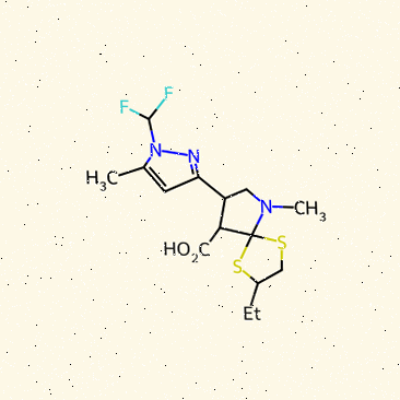 CCC1CSC2(S1)C(C(=O)O)C(c1cc(C)n(C(F)F)n1)CN2C